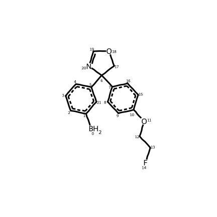 Bc1cccc(C2(c3ccc(OCCF)cc3)COC=N2)c1